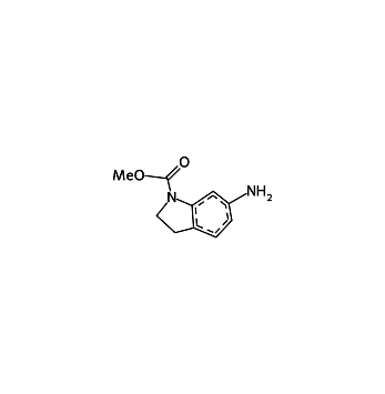 COC(=O)N1CCc2ccc(N)cc21